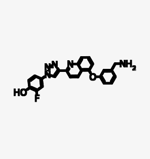 NCc1cccc(Oc2cccc3nc(-c4cn(-c5ccc(O)c(F)c5)nn4)ccc23)c1